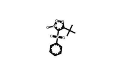 CC(C)(C)c1no[n+]([O-])c1S(=O)(=O)c1ccccc1